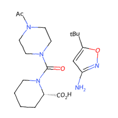 CC(=O)N1CCN(C(=O)N2CCCC[C@H]2C(=O)O)CC1.CC(C)(C)c1cc(N)no1